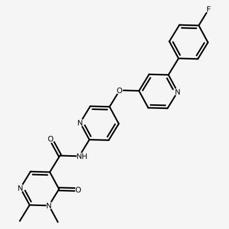 Cc1ncc(C(=O)Nc2ccc(Oc3ccnc(-c4ccc(F)cc4)c3)cn2)c(=O)n1C